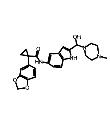 CN1CCN(C(O)c2cc3cc(NC(=O)C4(c5ccc6c(c5)OCO6)CC4)ccc3[nH]2)CC1